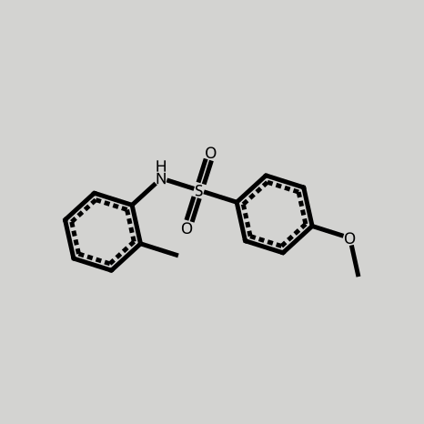 COc1ccc(S(=O)(=O)Nc2ccccc2C)cc1